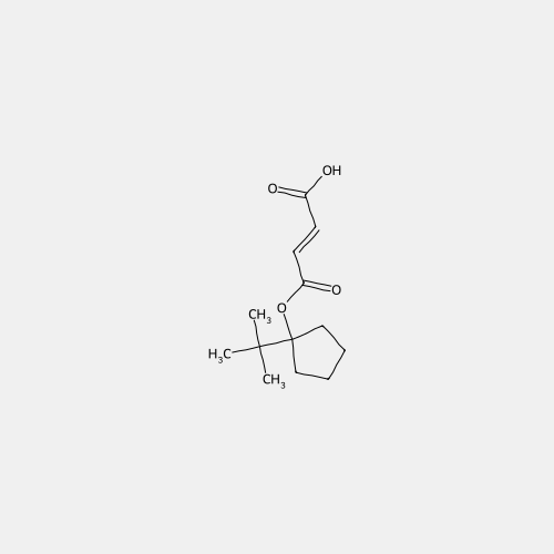 CC(C)(C)C1(OC(=O)/C=C/C(=O)O)CCCC1